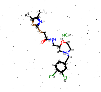 CC(=O)c1sc(SCC(=O)NCC2CN(Cc3ccc(Cl)c(Cl)c3)CCO2)nc1C.Cl